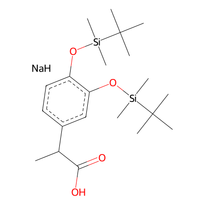 CC(C(=O)O)c1ccc(O[Si](C)(C)C(C)(C)C)c(O[Si](C)(C)C(C)(C)C)c1.[NaH]